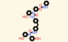 O=C(Nc1ccccc1)Oc1cccc(N(C(=O)Nc2ccc(Cc3ccc(NC(=O)N(c4cccc(O)c4)c4cccc(O)c4)cc3)cc2)c2cccc(O)c2)c1